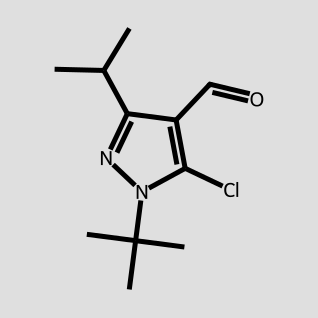 CC(C)c1nn(C(C)(C)C)c(Cl)c1C=O